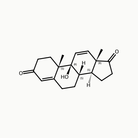 C[C@]12CCC(=O)C=C1CC[C@H]1[C@@H]3CCC(=O)[C@@]3(C)C=C[C@]12O